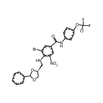 O=C(Nc1ccc(OC(F)(F)Cl)cc1)c1cc(Br)c(NC[C@H]2COC(c3ccccc3)O2)c([N+](=O)[O-])c1